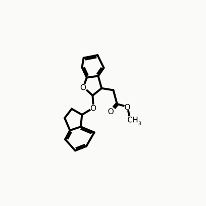 COC(=O)CC1c2ccccc2OC1OC1CCc2ccccc21